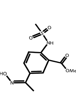 COC(=O)c1cc(/C(C)=N\O)ccc1NS(C)(=O)=O